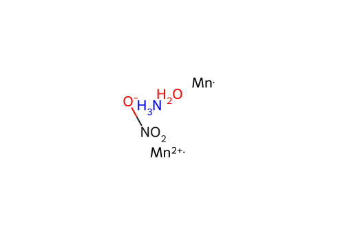 N.O.O=[N+]([O-])[O-].[Mn+2].[Mn]